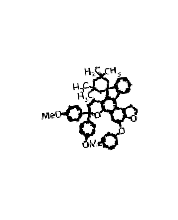 COc1ccc(C2(c3ccc(OC)cc3)C=Cc3c4c(c5c6c(c(Oc7ccccc7)cc5c3O2)OCC6)-c2ccccc2C42CC(C)(C)CC(C)(C)C2)cc1